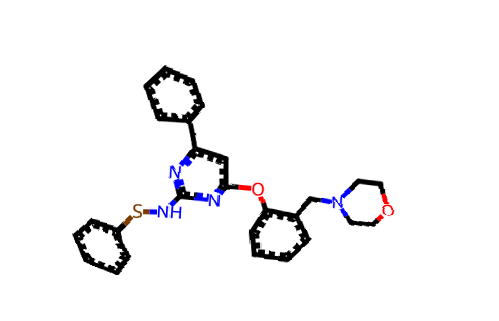 c1ccc(SNc2nc(Oc3ccccc3CN3CCOCC3)cc(-c3ccccc3)n2)cc1